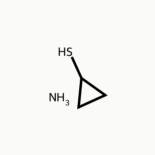 N.SC1CC1